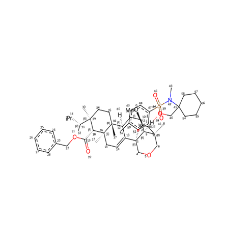 CO[C@@H]1C[C@@]23COC[C@@](C)([C@@H]2CC[C@H]2C3=CC[C@@]3(C)[C@H](C(=O)OCc4ccccc4)[C@@](C)([C@H](C)C(C)C)CC[C@]23C)[C@H]1OCC1(N(C)S(=O)(=O)c2ccc(C)cc2)CCCCC1